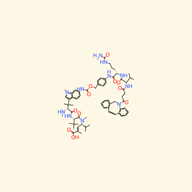 CN[C@@H](C(=O)N[C@H](C(=O)N(C)[C@H](/C=C(\C)C(=O)O)C(C)C)C(C)(C)C)C(C)(C)c1cn(C)c2cc(NC(=O)OCc3ccc(NC(=O)[C@H](CCCNC(N)=O)NC(=O)[C@@H](NC(=O)CCC(=O)N4Cc5ccccc5/C=C\c5ccccc54)C(C)C)cc3)ccc12